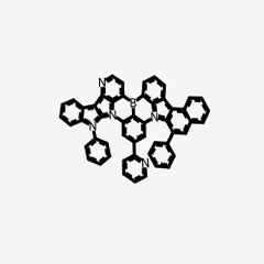 c1ccc(-c2cc3ccccc3c3c4cccc5c4n(c23)-c2cc(-c3ccccn3)cc3c2B5c2ccnc4c5c6ccccc6n(-c6ccccc6)c5n-3c24)cc1